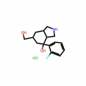 Cl.OCC1CC2CNCC2C(O)(c2ccccc2F)C1